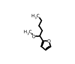 CCCCC(OC)c1ccco1